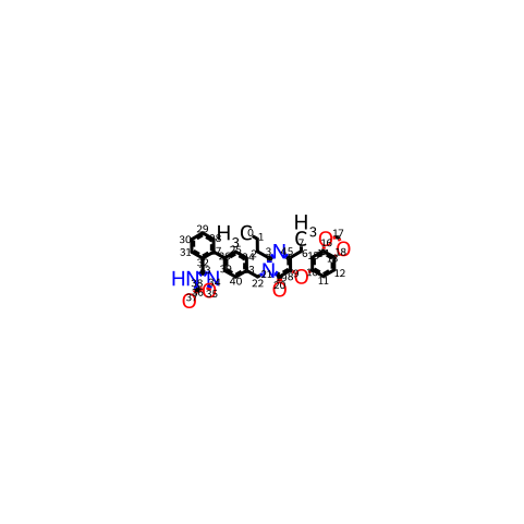 CCCc1nc(CC)c(Oc2ccc3c(c2)OCO3)c(=O)n1Cc1ccc(-c2ccccc2-c2noc(=O)[nH]2)cc1